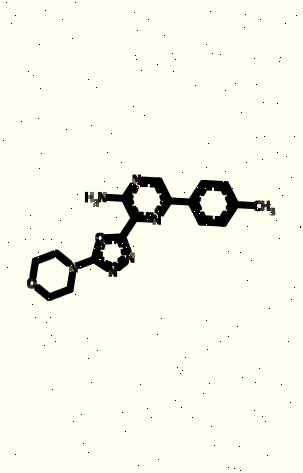 Cc1ccc(-c2cnc(N)c(-c3nnc(N4CCOCC4)o3)n2)cc1